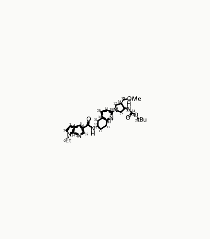 CCn1ccc2cc(C(=O)N[C@H]3CCc4nc(N5C[C@@H](COC)[C@@H](NC(=O)OC(C)(C)C)C5)ccc4C3)cnc21